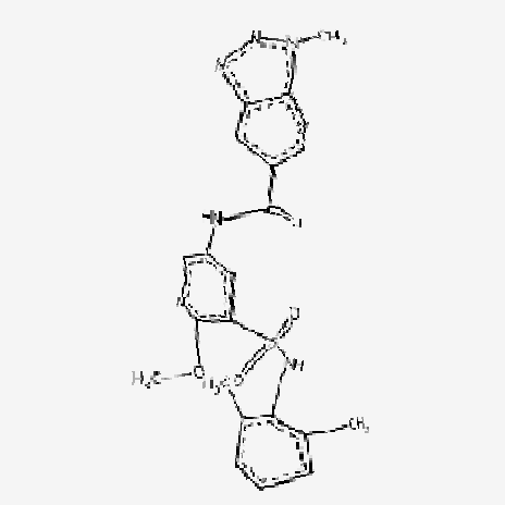 COc1ncc(NC(=O)c2ccc3c(c2)nnn3C)cc1S(=O)(=O)Nc1c(C)cccc1C